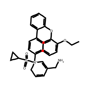 CCOc1ccccc1Oc1ccccc1-c1ccc([N+]2(S(=O)(=O)C3CC3)C=C(CN)C=CC2)cc1